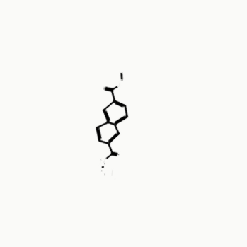 COC(=O)c1ccc2cc(C(=O)NN)ccc2c1